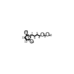 COCOCCCCN1C(=O)C=CC1=O